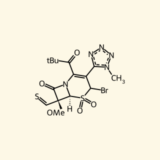 CO[C@@]1(C=S)C(=O)N2C(C(=O)C(C)(C)C)=C(c3nnnn3C)C(Br)S(=O)(=O)[C@H]21